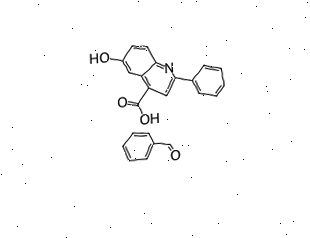 O=C(O)c1cc(-c2ccccc2)nc2ccc(O)cc12.O=Cc1ccccc1